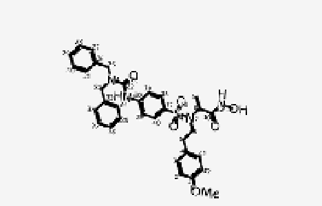 COc1ccc(CCN(C(C)C(=O)NO)S(=O)(=O)c2ccc(NC(=O)N(Cc3ccccc3)Cc3ccccc3)cc2)cc1